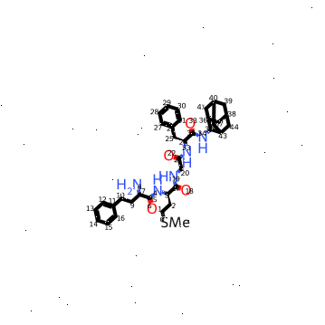 CSCC[C@@H](NC(=O)C(N)CCc1ccccc1)C(=O)NCC(=O)N[C@@H](Cc1ccccc1)C(=O)NC1C2CC3CC(C2)CC1C3